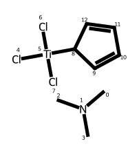 CN(C)C.[Cl][Ti]([Cl])([Cl])[CH]1C=CC=C1